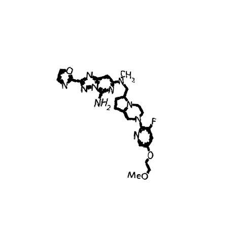 COCCOc1cnc(N2CCN3C(CN(C)c4cc5nc(-c6ncco6)nn5c(N)n4)CCC3C2)c(F)c1